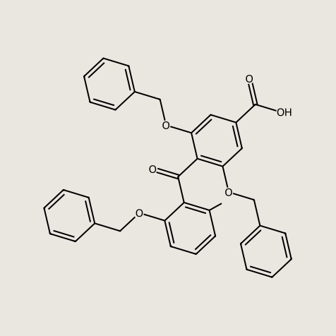 Cc1cccc(OCc2ccccc2)c1C(=O)c1c(OCc2ccccc2)cc(C(=O)O)cc1OCc1ccccc1